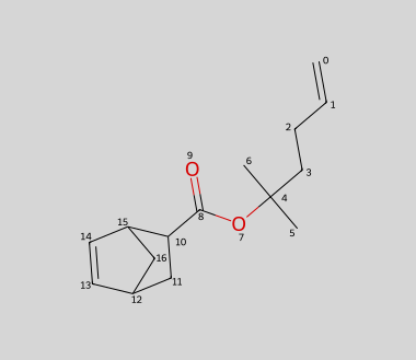 C=CCCC(C)(C)OC(=O)C1CC2C=CC1C2